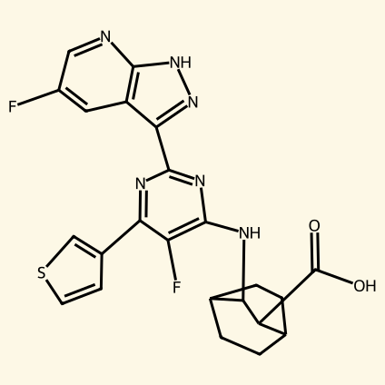 O=C(O)C1C2CCC(CC2)C1Nc1nc(-c2n[nH]c3ncc(F)cc23)nc(-c2ccsc2)c1F